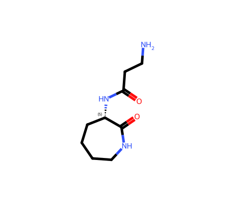 NCCC(=O)N[C@H]1CCCCNC1=O